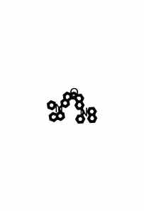 c1ccc(N(c2ccc3c(ccc4oc5ccc6cc(N(c7ccccc7)c7cccc8ccccc78)ccc6c5c43)c2)c2cccc3ccccc23)cc1